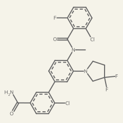 CN(C(=O)c1c(F)cccc1Cl)c1ccc(-c2cc(C(N)=O)ccc2Cl)cc1N1CCC(F)(F)C1